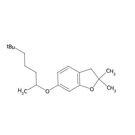 CC(CCCC(C)(C)C)Oc1ccc2c(c1)OC(C)(C)C2